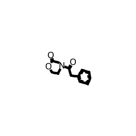 O=C1CN(C(=O)Cc2ccccc2)CCO1